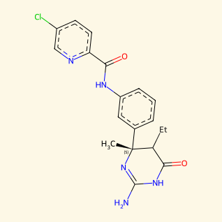 CCC1C(=O)NC(N)=N[C@]1(C)c1cccc(NC(=O)c2ccc(Cl)cn2)c1